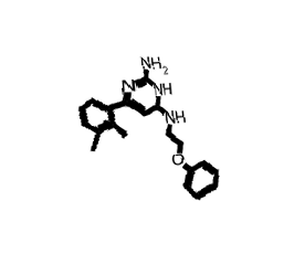 Cc1cccc(C2=CC(NCCOc3ccccc3)NC(N)=N2)c1C